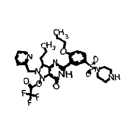 CCCOc1ccc(S(=O)(=O)N2CCNCC2)cc1-c1nc2c(c(=O)[nH]1)N(OC(=O)C(F)(F)F)N(Cc1ccccn1)C2CCC